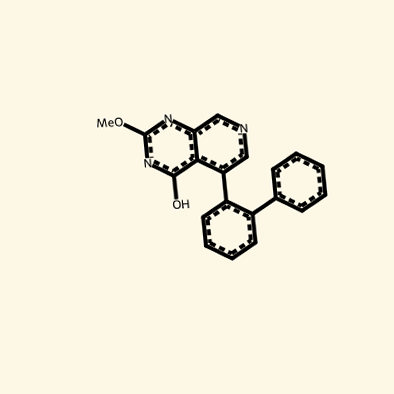 COc1nc(O)c2c(-c3ccccc3-c3ccccc3)cncc2n1